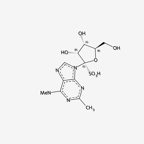 CNc1nc(C)nc2c1ncn2[C@]1(S(=O)(=O)O)O[C@H](CO)[C@@H](O)[C@H]1O